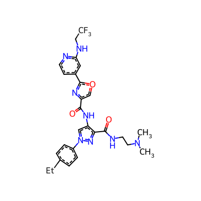 CCc1ccc(-n2cc(NC(=O)c3coc(-c4ccnc(NCC(F)(F)F)c4)n3)c(C(=O)NCCN(C)C)n2)cc1